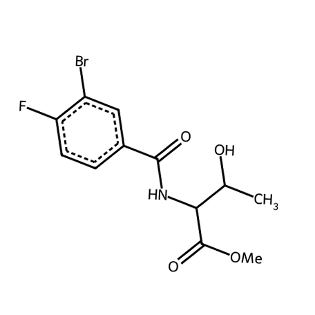 COC(=O)C(NC(=O)c1ccc(F)c(Br)c1)C(C)O